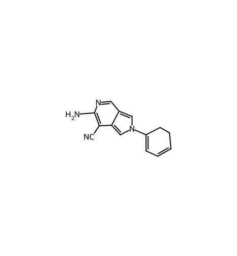 N#Cc1c(N)ncc2cn(C3=CC=CCC3)cc12